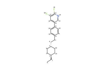 CC[C@H]1CC[C@H](CCc2ccc(-c3cnc(F)c(F)c3)cc2)CC1